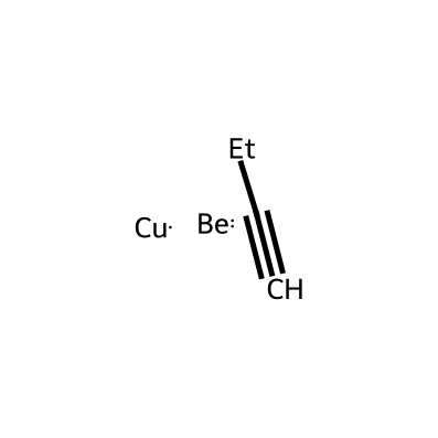 C#CCC.[Be].[Cu]